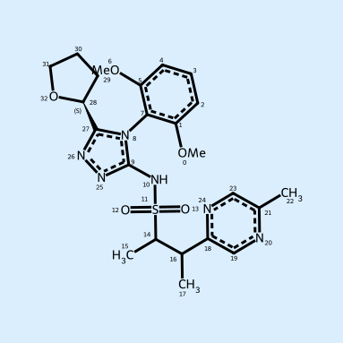 COc1cccc(OC)c1-n1c(NS(=O)(=O)C(C)C(C)c2cnc(C)cn2)nnc1[C@@H]1CCCO1